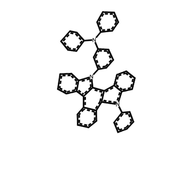 c1ccc(N(c2ccccc2)c2cccc(-n3c4ccccc4c4c5ccccc5c5c(c6ccccc6n5-c5ccccc5)c43)c2)cc1